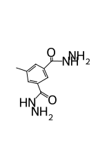 Cc1cc(C(=O)NN)cc(C(=O)NN)c1